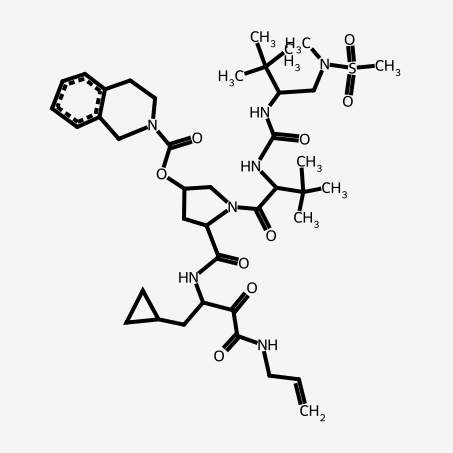 C=CCNC(=O)C(=O)C(CC1CC1)NC(=O)C1CC(OC(=O)N2CCc3ccccc3C2)CN1C(=O)C(NC(=O)NC(CN(C)S(C)(=O)=O)C(C)(C)C)C(C)(C)C